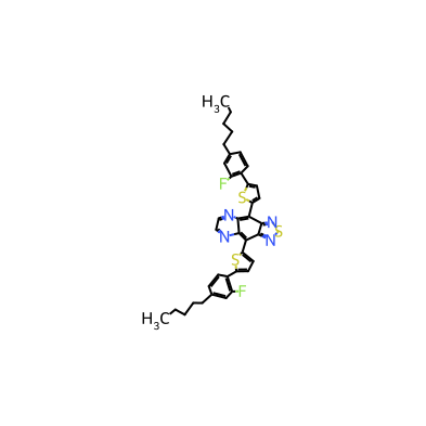 CCCCCc1ccc(-c2ccc(-c3c4nccnc4c(-c4ccc(-c5ccc(CCCCC)cc5F)s4)c4nsnc34)s2)c(F)c1